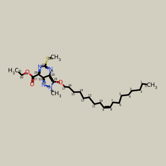 CCCCCCCC/C=C\CCCCCCCCOc1c2nc(SC)nc(C(=O)OCC)c2nn1C